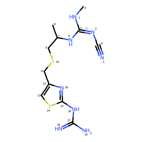 CN/C(=N/C#N)NC(C)CSCc1csc(NC(=N)N)n1